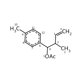 C=CC(C)C(OC(C)=O)c1ccc(C)cc1